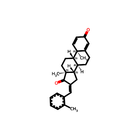 Cc1ccccc1C=C1C[C@H]2[C@@H]3CCC4=CC(=O)C=C[C@]4(C)[C@H]3CC[C@]2(C)C1=O